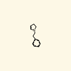 C1=CN(CCc2ccccc2)CC1